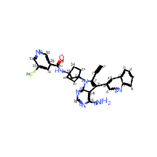 C#Cc1c(-c2cnc3ccccc3c2)c2c(N)ncnc2n1C12CCC(NC(=O)c3cncc(F)c3)(CC1)C2